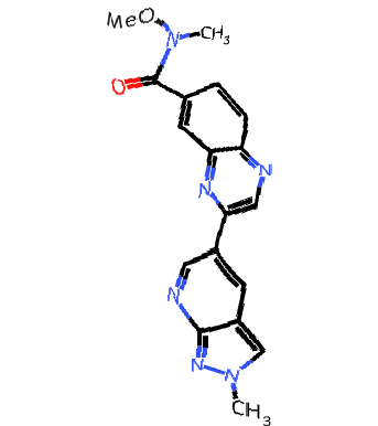 CON(C)C(=O)c1ccc2ncc(-c3cnc4nn(C)cc4c3)nc2c1